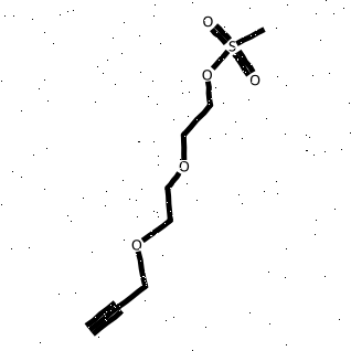 C#CCOCCOCCOS(C)(=O)=O